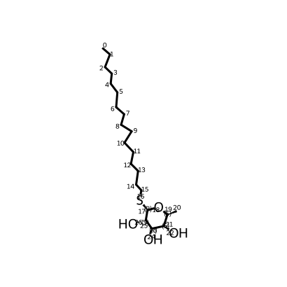 CCCCCCCCCCCCCCCCS[C@H]1O[C@@H](C)[C@@H](O)[C@@H](O)[C@@H]1O